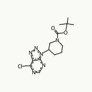 CC(C)(C)OC(=O)N1CCCC(n2nnc3c(Cl)ncnc32)C1